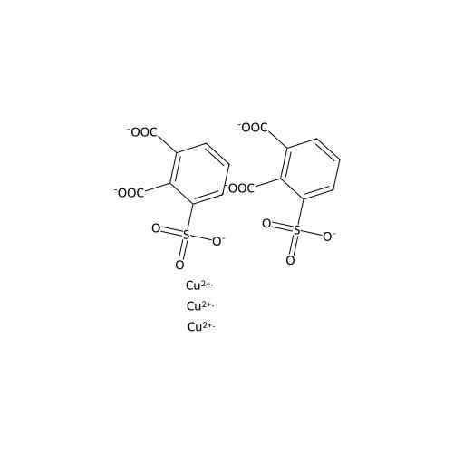 O=C([O-])c1cccc(S(=O)(=O)[O-])c1C(=O)[O-].O=C([O-])c1cccc(S(=O)(=O)[O-])c1C(=O)[O-].[Cu+2].[Cu+2].[Cu+2]